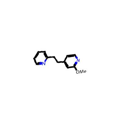 COc1cc(CCc2ccccn2)ccn1